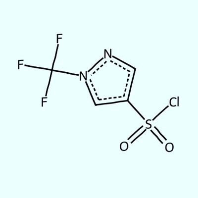 O=S(=O)(Cl)c1cnn(C(F)(F)F)c1